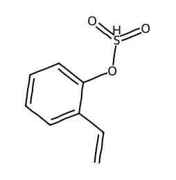 C=Cc1ccccc1O[SH](=O)=O